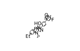 CC[C@@H]1CC[C@H](F)[C@H](N(c2cnc(-c3ccc(-c4cc(F)n(C)c(=O)n4)cc3O)nn2)C2CC2)C1